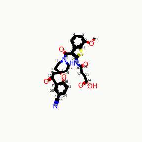 COc1cccc2c(C(=O)N3CCC4(CC3)CC(=O)c3cc(C#N)ccc3O4)c(NC(=O)CCC(=O)O)sc12